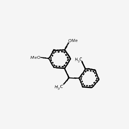 COc1cc(OC)cc(C(C)c2ccccc2C)c1